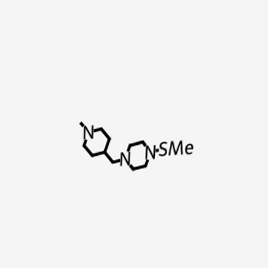 CSN1CCN(CC2CCN(C)CC2)CC1